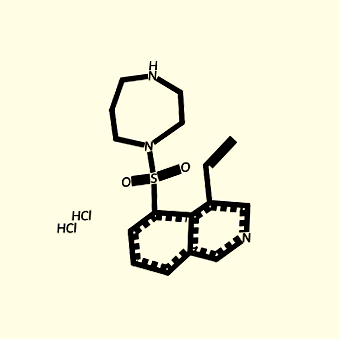 C=Cc1cncc2cccc(S(=O)(=O)N3CCCNCC3)c12.Cl.Cl